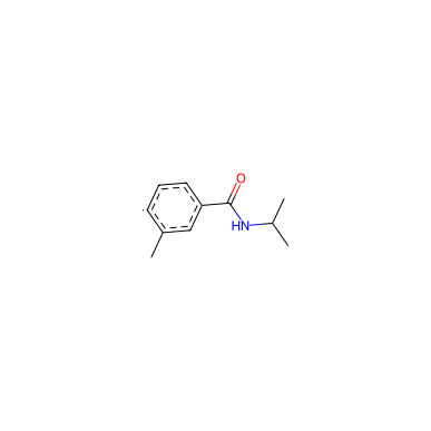 Cc1[c]ccc(C(=O)NC(C)C)c1